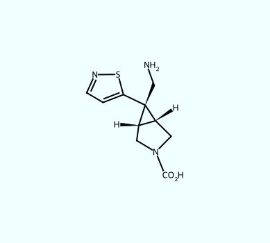 NC[C@@]1(c2ccns2)[C@@H]2CN(C(=O)O)C[C@@H]21